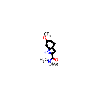 CON(C)C(=O)c1cc2ccc(OC(F)(F)F)cc2[nH]1